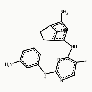 Nc1cccc(Nc2ncc(F)c(Nc3cc(N)c4c(O)c3CC4)n2)c1